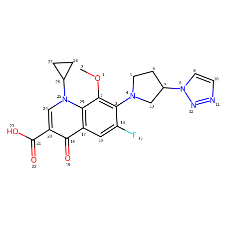 COc1c(N2CCC(n3ccnn3)C2)c(F)cc2c(=O)c(C(=O)O)cn(C3CC3)c12